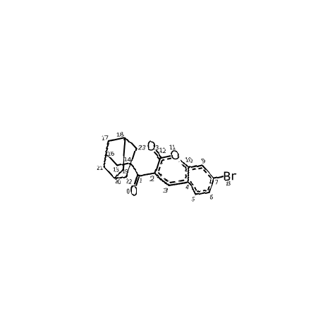 O=C(c1cc2ccc(Br)cc2oc1=O)C12CC3CC(CC(C3)C1)C2